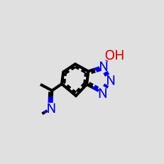 CN=C(C)c1ccc2c(c1)nnn2O